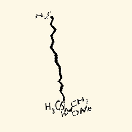 C=CCCCCCCCCCCCCCC[SiH](C)OC(C)OC